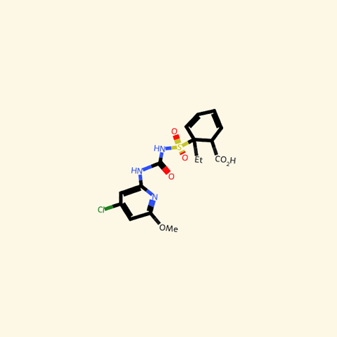 CCC1(S(=O)(=O)NC(=O)Nc2cc(Cl)cc(OC)n2)C=CC=CC1C(=O)O